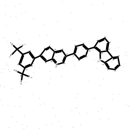 FC(F)(F)c1cc(-c2ccc3cc(-c4ccc(-c5cccc6c5sc5ccccc56)cc4)cnc3c2)cc(C(F)(F)F)c1